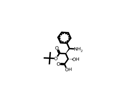 CC(C)(C)OC(=O)[C@@H](C(N)c1ccccc1)[C@H](O)C(=O)O